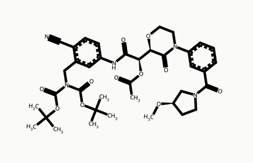 CO[C@@H]1CCN(C(=O)c2cccc(N3CCO[C@H]([C@@H](OC(C)=O)C(=O)Nc4ccc(C#N)c(CN(C(=O)OC(C)(C)C)C(=O)OC(C)(C)C)c4)C3=O)c2)C1